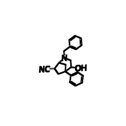 N#CC1CC2(c3ccccc3)CC1N(Cc1ccccc1)CC2O